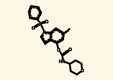 O=C(NC1CCOCC1)Oc1cc(F)cc2c1ccn2S(=O)(=O)c1ccccc1